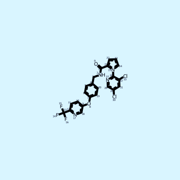 O=C(NCc1ccc(Oc2ccc(C(F)(F)F)nc2)cc1)c1cccn1-c1ncc(Cl)cc1Cl